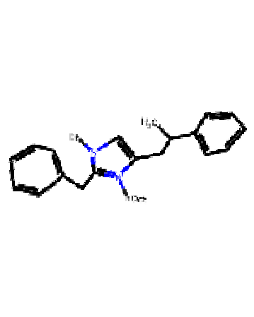 CCCCCCCC[n+]1c(CC(C)c2ccccc2)cn(CC)c1Cc1ccccc1